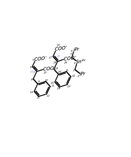 CC(C)[CH2][Sn+4][CH2]C(C)C.O=C([O-])/C=C(/Cc1ccccc1)C(=O)[O-].O=C([O-])/C=C(/Cc1ccccc1)C(=O)[O-]